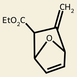 C=C1C2C=CC(O2)C1C(=O)OCC